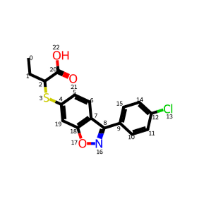 CCC(Sc1ccc2c(-c3ccc(Cl)cc3)noc2c1)C(=O)O